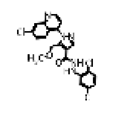 COCc1c(C(=O)NNc2cc(Cl)ccc2Cl)cnn1-c1ccnc2cc(Cl)ccc12